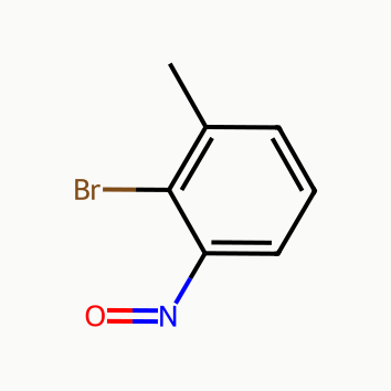 Cc1cccc(N=O)c1Br